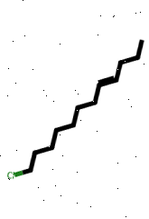 CCCC=CCCCCCCCCl